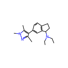 CCN(CC)C1CCc2ccc(-c3c(C)nn(C)c3C)cc21